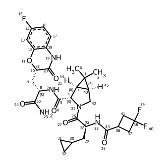 CC1(C)[C@@H]2[C@@H](C(=O)N[C@@H](C[C@@H]3Oc4cc(F)ccc4NC3=O)C(N)=O)N(C(=O)[C@H](CC3CC3)NC(=O)C3CC(F)(F)C3)C[C@@H]21